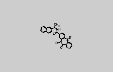 CCN1C(=O)c2ccccc2[S@@+]([O-])c2ccc(C(=O)NC(C)c3ccc4ccccc4c3)cc21